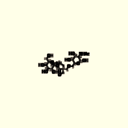 CC(=O)NCC(CO)(COCC1O[C@@H](O)C(NC(C)=O)[C@@H](O)C1O)CO[C@@H]1OC(CO)C(O)[C@H](O)C1O